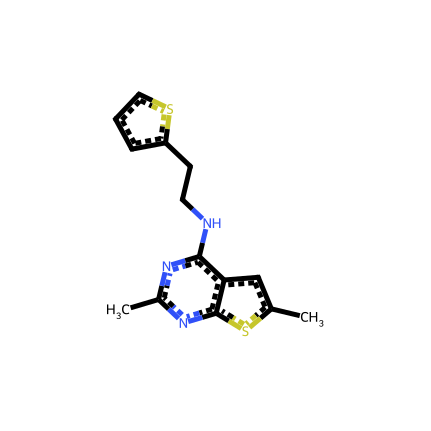 Cc1nc(NCCc2cccs2)c2cc(C)sc2n1